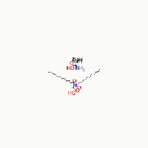 CCCCCCCCCCCC(=O)N(C(=O)CCCCCCCCCCC)C(C)C(=O)O.C[C@H](N)C(=O)O.[NaH].[NaH]